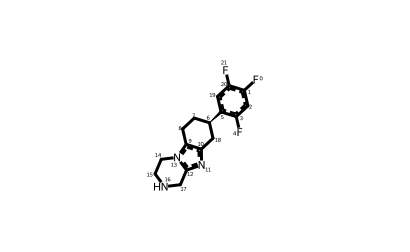 Fc1cc(F)c([C@@H]2CCc3c(nc4n3CCNC4)C2)cc1F